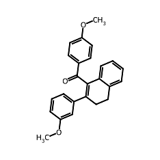 COc1ccc(C(=O)C2=C(c3cccc(OC)c3)CCc3ccccc32)cc1